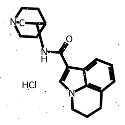 Cl.O=C(NC1CN2CCC1CC2)c1cn2c3c(cccc13)CCC2